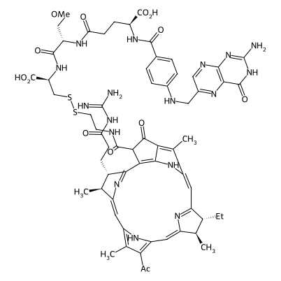 CC[C@H]1c2cc3[nH]c4c(c3C)C(=O)C(C(=O)NCCSSC[C@H](NC(=O)[C@H](COC)NC(=O)CC[C@H](NC(=O)c3ccc(NCc5cnc6nc(N)[nH]c(=O)c6n5)cc3)C(=O)O)C(=O)O)c4c3nc(cc4[nH]c(cc(n2)[C@@H]1C)c(C(C)=O)c4C)[C@@H](C)[C@@H]3CCC(=O)NC(=N)N